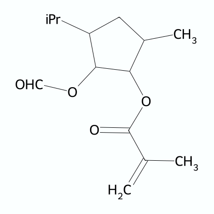 C=C(C)C(=O)OC1C(C)CC(C(C)C)C1OC=O